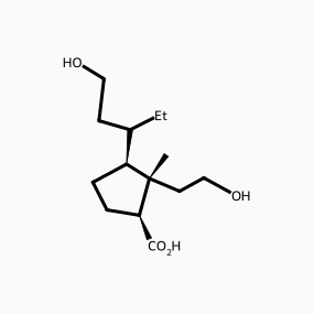 CCC(CCO)[C@@H]1CC[C@H](C(=O)O)[C@@]1(C)CCO